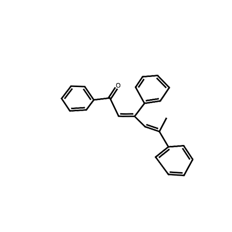 C/C(=C\C(=C\C(=O)c1ccccc1)c1ccccc1)c1ccccc1